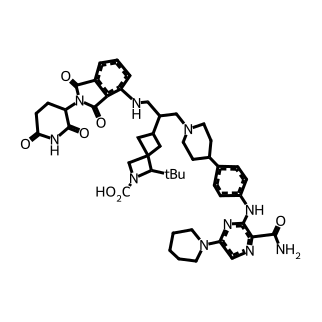 CC(C)(C)C1N(C(=O)O)CC12CC(C(CNc1cccc3c1C(=O)N(C1CCC(=O)NC1=O)C3=O)CN1CCC(c3ccc(Nc4nc(N5CCCCC5)cnc4C(N)=O)cc3)CC1)C2